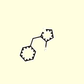 Fc1ccsc1Cc1ccccc1